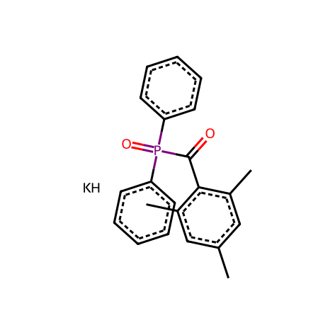 Cc1cc(C)c(C(=O)P(=O)(c2ccccc2)c2ccccc2)c(C)c1.[KH]